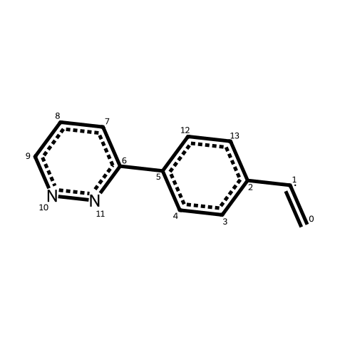 C=[C]c1ccc(-c2cccnn2)cc1